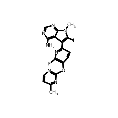 Cc1ccnc(Oc2ccc(-c3c(I)n(C)c4ncnc(N)c34)nc2F)n1